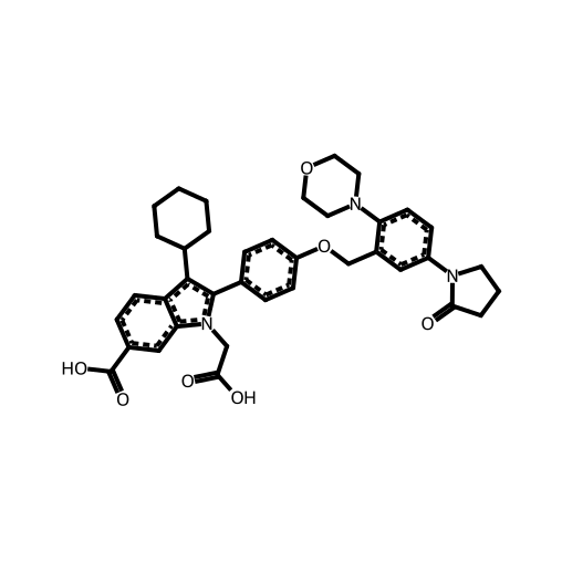 O=C(O)Cn1c(-c2ccc(OCc3cc(N4CCCC4=O)ccc3N3CCOCC3)cc2)c(C2CCCCC2)c2ccc(C(=O)O)cc21